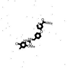 CNC(=O)c1cc(Oc2ccc(CNC(=O)Nc3cc(Cl)c(C)cc3OC)cc2)ccn1